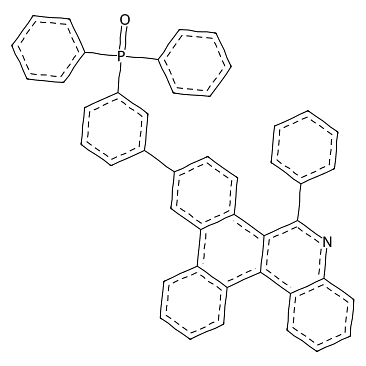 O=P(c1ccccc1)(c1ccccc1)c1cccc(-c2ccc3c(c2)c2ccccc2c2c4ccccc4nc(-c4ccccc4)c32)c1